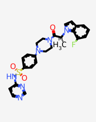 C[C@H](C(=O)N1CCN(c2ccc(S(=O)(=O)Nc3ccncn3)cc2)CC1)n1ccc2cccc(F)c21